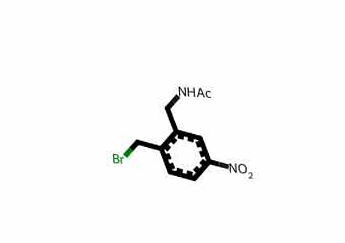 CC(=O)NCc1cc([N+](=O)[O-])ccc1CBr